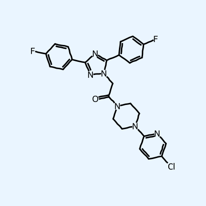 O=C(Cn1nc(-c2ccc(F)cc2)nc1-c1ccc(F)cc1)N1CCN(c2ccc(Cl)cn2)CC1